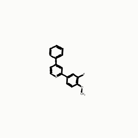 COc1ccc(-c2cc(-c3ccccc3)ccn2)cc1F